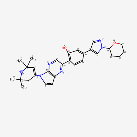 CC1(C)C=C(n2ccc3nc(-c4ccc(-c5cnn(C6CCCCO6)c5)cc4O)cnc32)CC(C)(C)N1